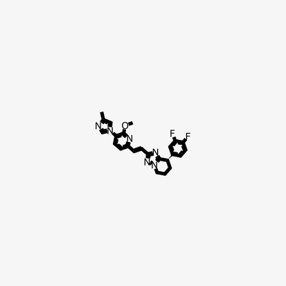 COc1nc(/C=C/c2nc3n(n2)CCC[C@H]3c2ccc(F)c(F)c2)ccc1-n1cnc(C)c1